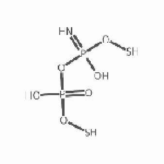 N=P(O)(OS)OP(=O)(O)OS